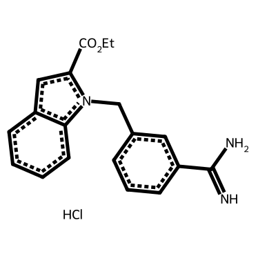 CCOC(=O)c1cc2ccccc2n1Cc1cccc(C(=N)N)c1.Cl